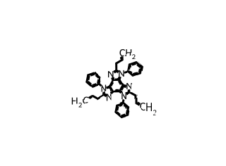 C=CCc1nc2c(c3nc(CC=C)n(-c4ccccc4)c3c3nc(CC=C)n(-c4ccccc4)c23)n1-c1ccccc1